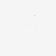 Cc1oc(-c2ccc3ccccc3c2)nc1CI